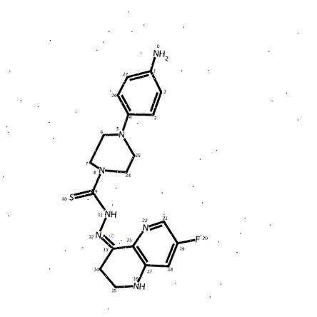 Nc1ccc(N2CCN(C(=S)N/N=C3/CCNc4cc(F)cnc43)CC2)cc1